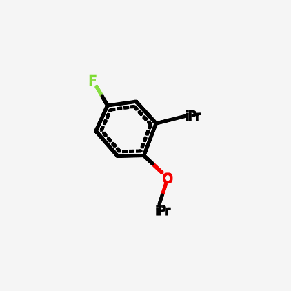 CC(C)Oc1ccc(F)cc1C(C)C